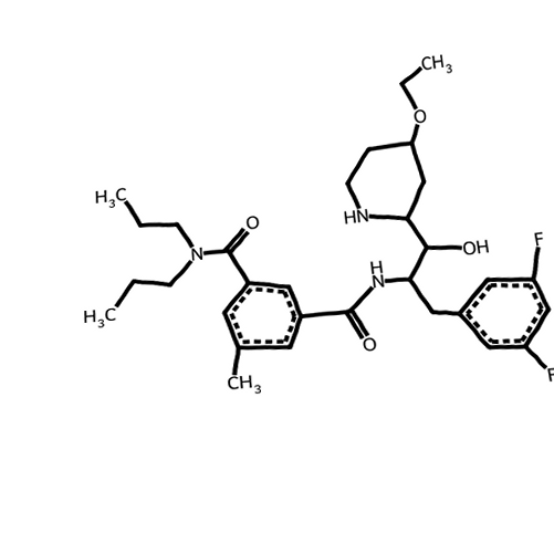 CCCN(CCC)C(=O)c1cc(C)cc(C(=O)NC(Cc2cc(F)cc(F)c2)C(O)C2CC(OCC)CCN2)c1